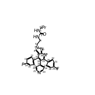 CC(C)NC(=O)NCCn1cc2c(-c3ccc(F)cc3)c(-c3ccncc3)c(-c3ccc(F)cc3)nc2n1